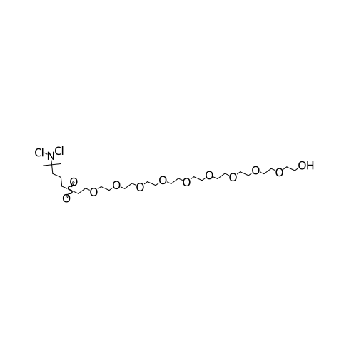 CC(C)(CCCS(=O)(=O)CCOCCOCCOCCOCCOCCOCCOCCOCCOCCO)N(Cl)Cl